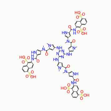 CN(C(=O)c1cc(Nc2nc(Nc3cc(C(=O)N(C)c4c[nH]c(C(=O)Nc5ccc6c(S(=O)(=O)O)cccc6c5S(=O)(=O)O)c4)n(C)c3)nc(Nc3cc(C(=O)N(C)c4c[nH]c(C(=O)Nc5ccc6c(S(=O)(=O)O)cccc6c5S(=O)(=O)O)c4)n(C)c3)n2)cn1C)c1c[nH]c(C(=O)Nc2ccc3c(S(=O)(=O)O)cccc3c2S(=O)(=O)O)c1